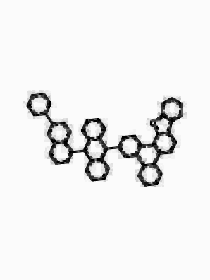 c1ccc(-c2ccc3c(-c4c5ccccc5c(-c5ccc6c(c5)c5ccccc5c5ccc7c8ccccc8oc7c56)c5ccccc45)cccc3c2)cc1